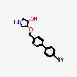 CC(C)c1ccc(-c2ccc(CO[C@H]3CNC[C@@H]3O)cc2)cc1